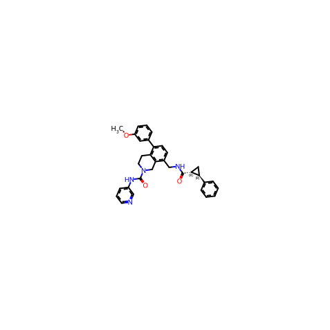 COc1cccc(-c2ccc(CNC(=O)[C@@H]3C[C@H]3c3ccccc3)c3c2CCN(C(=O)Nc2cccnc2)C3)c1